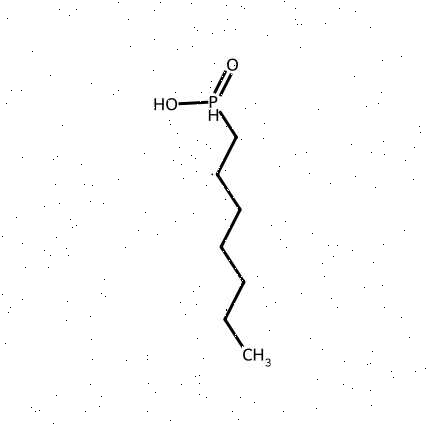 CCCCC[CH]C[PH](=O)O